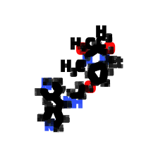 CCN1C(=O)C(C)(C)C(=O)N(C)c2cc(OCCCNC(c3ccncc3)c3ccncc3)ccc21